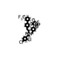 CN1C(=O)C(C)(C)N(c2ccc(Cn3cc(-c4ccc(Cl)cc4Cl)nc3C=Cc3ccc(-c4cccc(C(F)(F)F)c4)cc3)cc2)S1(=O)=O